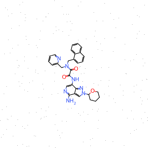 Nc1ncc(NC(=O)C(=O)N(Cc2ccccn2)Cc2cccc3ccccc23)c2nn(C3CCCCO3)cc12